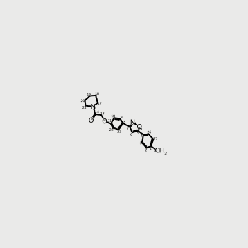 Cc1ccc(-c2cc(-c3ccc(OCC(=O)N4CCCCC4)cc3)no2)cc1